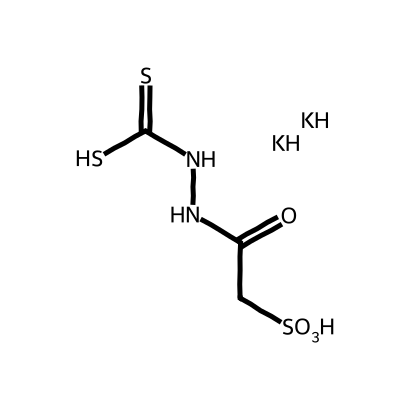 O=C(CS(=O)(=O)O)NNC(=S)S.[KH].[KH]